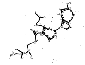 CC(C)Nc1cc(-n2ccc3cc(Cl)cnc32)ncc1C(=O)NC[C@@H](F)C(C)(C)O